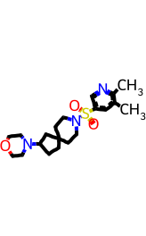 Cc1cc(S(=O)(=O)N2CCC3(CCC(N4CCOCC4)C3)CC2)cnc1C